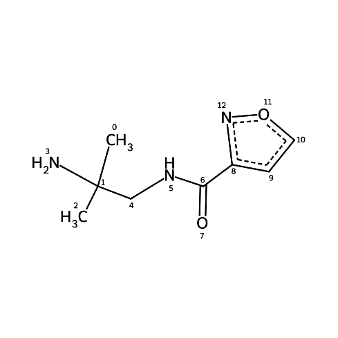 CC(C)(N)CNC(=O)c1ccon1